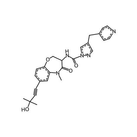 CN1C(=O)C(NC(=O)n2cc(Cc3ccncc3)cn2)COc2ccc(C#CC(C)(C)O)cc21